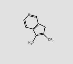 Bc1c(C)sc2cnccc12